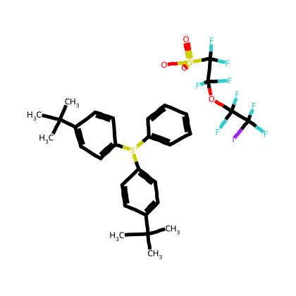 CC(C)(C)c1ccc([S+](c2ccccc2)c2ccc(C(C)(C)C)cc2)cc1.O=S(=O)([O-])C(F)(F)C(F)(F)OC(F)(F)C(F)(F)I